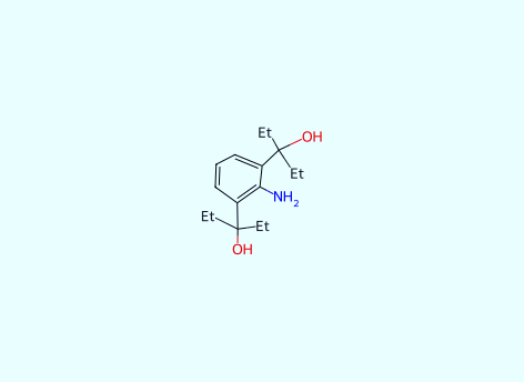 CCC(O)(CC)c1cccc(C(O)(CC)CC)c1N